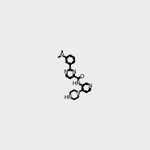 CN(C)c1cccc(-c2nccc(C(=O)Nc3cnccc3N3CCNCC3)n2)c1